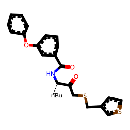 CCCC[C@H](NC(=O)c1cccc(Oc2ccccc2)c1)C(=O)CSCc1ccsc1